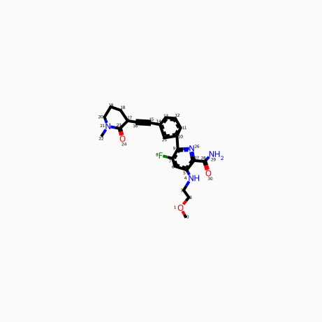 COCCNc1cc(F)c(-c2cccc(C#CC3CCCN(C)C3=O)c2)nc1C(N)=O